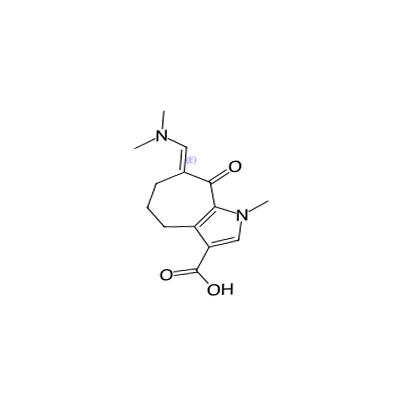 CN(C)/C=C1\CCCc2c(C(=O)O)cn(C)c2C1=O